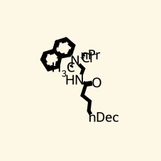 CCCCCCCCCCCCCC(=O)NC[N+](C)(CCC)c1cccc2ccccc12.[Cl-]